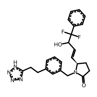 O=C1CC[C@H](/C=C/C(O)C(F)(F)c2ccccc2)N1Cc1cccc(CCc2nnn[nH]2)c1